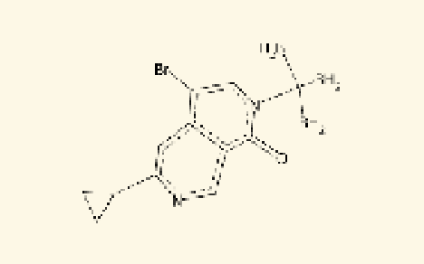 BC(B)(B)n1cc(Br)c2cc(C3CC3)ncc2c1=O